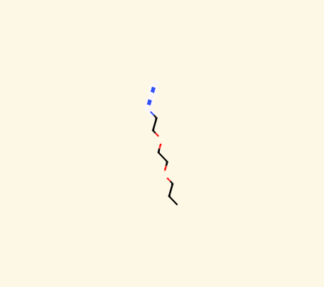 CCCOCCOCCN=[N+]=[N-]